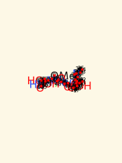 COc1cc(C(=O)NC2CC(NC(=O)COc3cccc([C@](O)(C(=O)OCC4CCN(Cc5ccccc5)CC4)c4ccccc4)c3)C2)c(F)cc1CNC[C@H](O)c1ccc(O)c2[nH]c(=O)ccc12